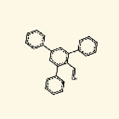 [CH]=Cc1c(-c2ccccc2)cc(-c2ccccc2)cc1-c1ccccc1